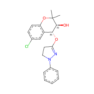 CC1(C)Oc2ccc(Cl)cc2[C@@H](OC2=NN(c3ccccc3)CC2)[C@@H]1O